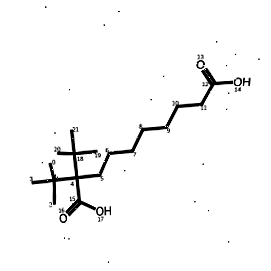 CC(C)(C)C(CCCCCCCC(=O)O)(C(=O)O)C(C)(C)C